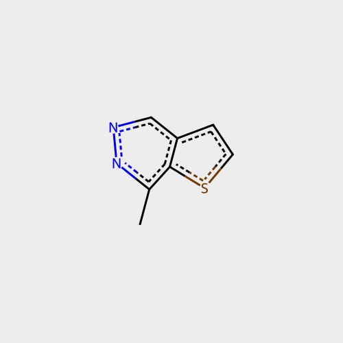 Cc1nncc2ccsc12